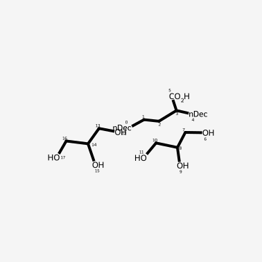 CCCCCCCCCCCCC(CCCCCCCCCC)C(=O)O.OCC(O)CO.OCC(O)CO